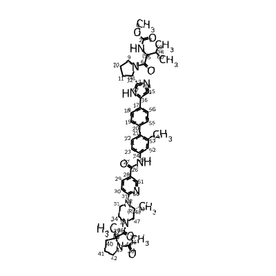 COC(=O)N[C@H](C(=O)N1CCC[C@H]1c1ncc(-c2ccc(-c3ccc(NC(=O)c4ccc(N5CCN(C(=O)[C@@]6(C)CCCN6C(C)=O)C[C@H]5C)nc4)cc3C)cc2)[nH]1)C(C)C